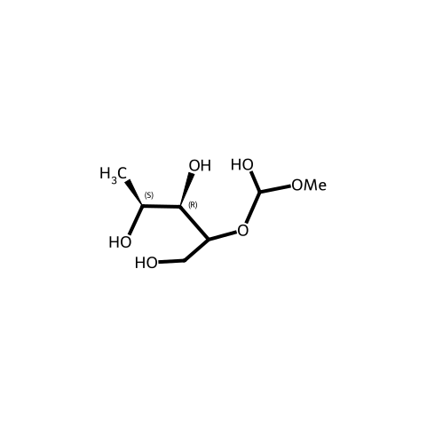 COC(O)OC(CO)[C@H](O)[C@H](C)O